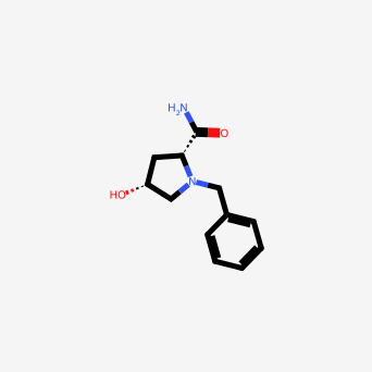 NC(=O)[C@H]1C[C@@H](O)CN1Cc1ccccc1